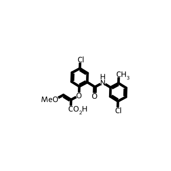 COC=C(Oc1ccc(Cl)cc1C(=O)Nc1cc(Cl)ccc1C)C(=O)O